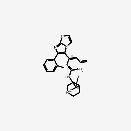 C=C/C=C(\N=C(/N)N[C@H]1CN2CCC1CC2)c1c(-c2ccccc2C)nc2occn12